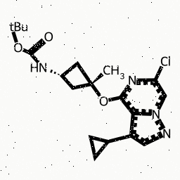 CC(C)(C)OC(=O)N[C@H]1C[C@@](C)(Oc2nc(Cl)cn3ncc(C4CC4)c23)C1